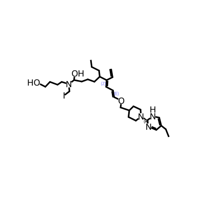 C=C/C(=C\C=C\OCC1CCN([C@@H]2N=CC(CC)=CN2)CC1)C(CCC)CCCC(O)N(CI)CCCCO